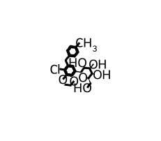 Cc1ccc(Cc2cc([C@@H]3O[C@H](CO)[C@@H](O)[C@H](O)[C@H]3O)c3c(c2Cl)OCCO3)cc1